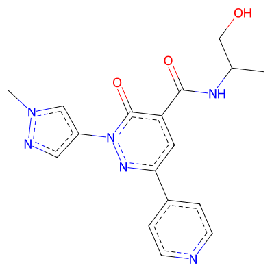 CC(CO)NC(=O)c1cc(-c2ccncc2)nn(-c2cnn(C)c2)c1=O